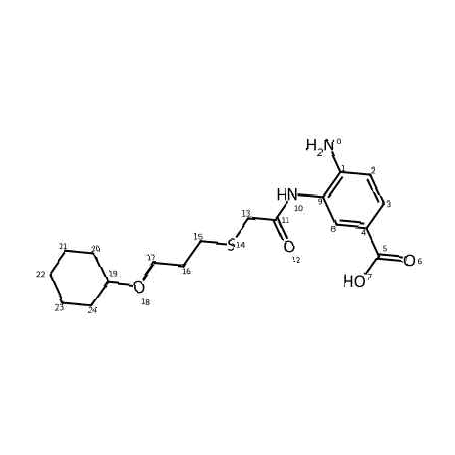 Nc1ccc(C(=O)O)cc1NC(=O)CSCCCOC1CCCCC1